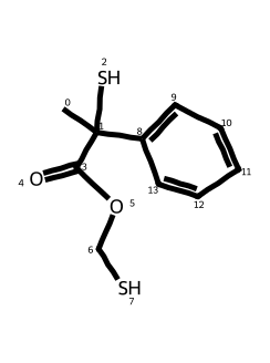 CC(S)(C(=O)OCS)c1ccccc1